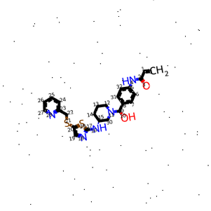 C=CC(=O)Nc1ccc(C(O)N2CCC[C@@H](Nc3ncc(SCc4ccccn4)s3)C2)cc1